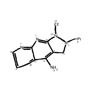 CCCN1Cc2c(nc3ncccc3c2N)N1CC